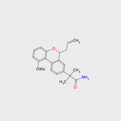 C=CCC1Oc2cccc(OC)c2-c2ccc(C(C)(C)C(N)=O)cc21